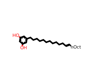 CCCCCCCCC=CCCCCCCCCCCCc1cc(O)cc(O)c1